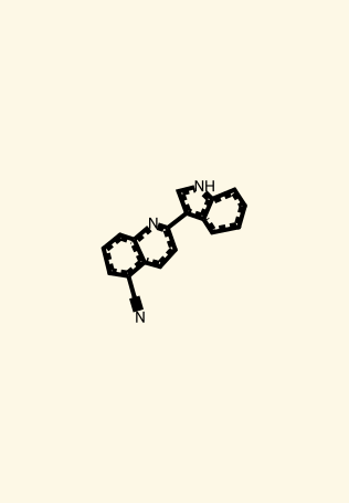 N#Cc1cccc2nc(-c3c[nH]c4ccccc34)ccc12